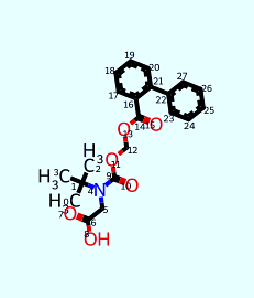 CC(C)(C)N(CC(=O)O)C(=O)OCOC(=O)c1ccccc1-c1ccccc1